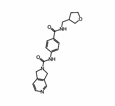 O=C(NCC1CCOC1)c1ccc(NC(=O)N2Cc3ccncc3C2)cc1